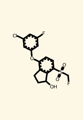 O=S(=O)(CF)c1ccc(Oc2cc(F)cc(Cl)c2)c2c1C(O)CC2